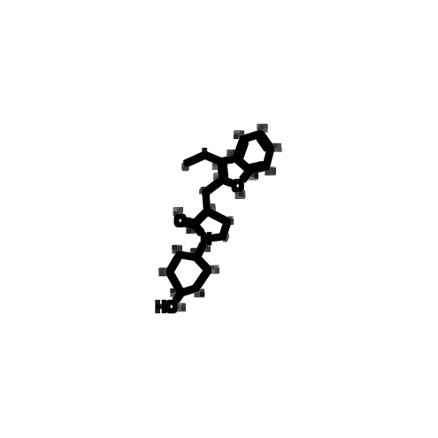 CCc1c(CC2CCN(C3CCC(O)CC3)C2=O)oc2ccccc12